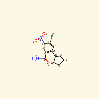 NC(=O)c1cc([N+](=O)[O-])c(F)cc1C1CCCC1